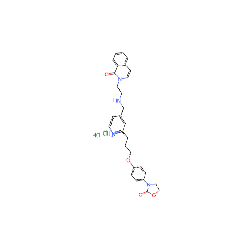 Cl.Cl.O=C1OCCN1c1ccc(OCCCc2cc(CNCCn3ccc4ccccc4c3=O)ccn2)cc1